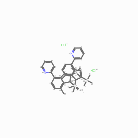 Cc1ccc(-c2ccccn2)c2c1[CH]([Zr]([CH3])([CH3])(=[SiH2])[CH]1C([Si](C)(C)C)=Cc3c(-c4ccccn4)ccc(C)c31)C([Si](C)(C)C)=C2.Cl.Cl